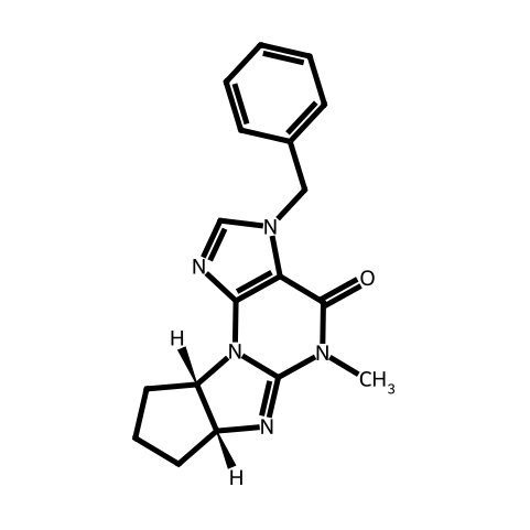 CN1C(=O)c2c(ncn2Cc2ccccc2)N2C1=N[C@@H]1CCC[C@@H]12